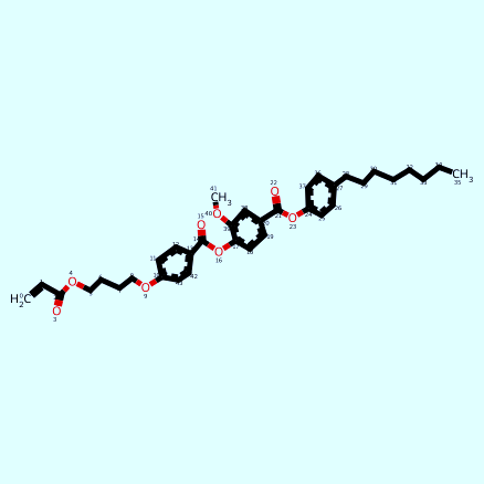 C=CC(=O)OCCCCOc1ccc(C(=O)Oc2ccc(C(=O)Oc3ccc(CCCCCCCC)cc3)cc2OC)cc1